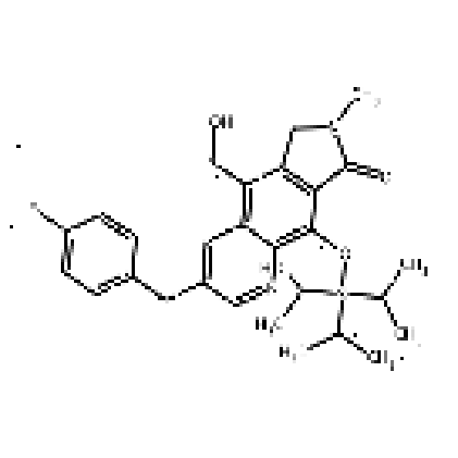 CC(C)[Si](Oc1c2c(c(CO)c3cc(Cc4ccc(F)cc4)cnc13)CN(C)C2=O)(C(C)C)C(C)C